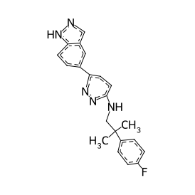 CC(C)(CNc1ccc(-c2ccc3[nH]ncc3c2)nn1)c1ccc(F)cc1